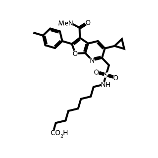 CNC(=O)c1c(-c2ccc(C)cc2)oc2nc(CS(=O)(=O)NCCCCCCCC(=O)O)c(C3CC3)cc12